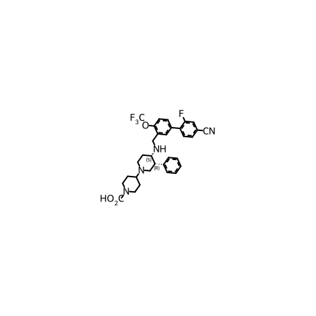 N#Cc1ccc(-c2ccc(OC(F)(F)F)c(CN[C@H]3CCN(C4CCN(C(=O)O)CC4)C[C@H]3c3ccccc3)c2)c(F)c1